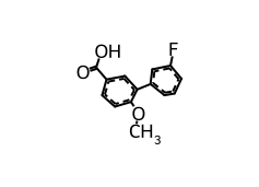 COc1ccc(C(=O)O)cc1-c1cccc(F)c1